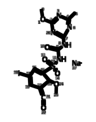 COc1nc(C)nc(NC(=O)NS(=O)(=O)C2=CC(I)=CC(=C=O)C2OC)n1.[Na]